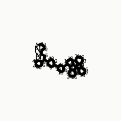 c1ccc(-c2cc(-c3ccc(-c4cccc(-c5cccc6c5-c5ccccc5C65c6ccccc6-c6ccccc65)c4)cc3)c3ccccc3n2)nc1